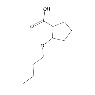 CCCCOC1CCCC1C(=O)O